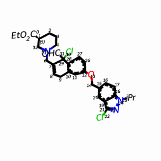 CCOC(=O)[C@H]1CCCN(CC2=CCc3cc(OCc4ccc5c(c4)c(Cl)nn5C(C)C)ccc3C2(Cl)C=O)C1